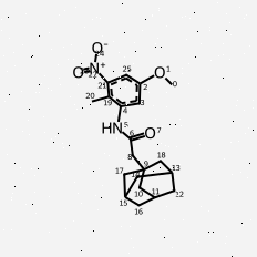 COc1cc(NC(=O)CC23CC4CC(CC(C4)C2)C3)c(C)c([N+](=O)[O-])c1